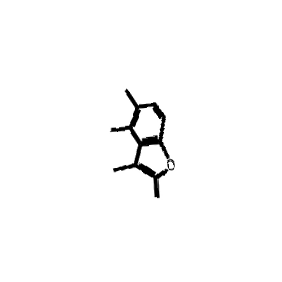 Cc1ccc2oc(C)c(C)c2c1C